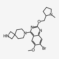 COc1cc2c(N3CCC4(CC3)CNC4)nc(OCC3CCCN3C)nc2cc1Br